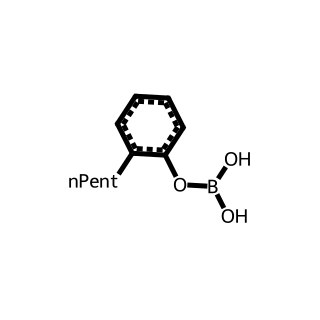 CCCCCc1ccccc1OB(O)O